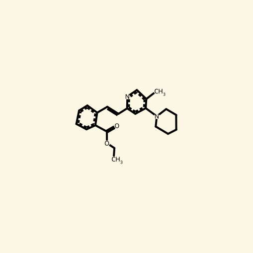 CCOC(=O)c1ccccc1/C=C/c1cc(N2CCCCC2)c(C)cn1